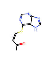 CC(=O)/C=C\Sc1ncnc2nc[nH]c12